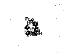 CC(C)CC(=O)Nc1cncc(-c2cnc3[nH]nc(-c4nc5c(-c6ccsc6)nccc5[nH]4)c3c2F)c1